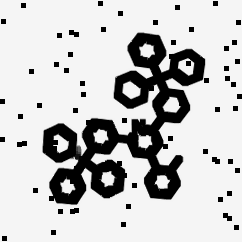 Cc1ccccc1-c1cc(C2=CCCC(C(C3=CC=CCC3)(C3=CCCCC3)c3ccccc3)=C2)nc(-c2cccc(C(c3ccccc3)(c3ccccc3)[C@H]3C=CC=CC3)c2)c1